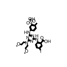 COCCN(CCOC)c1nc(Nc2ccc(C)c(S(=O)(=O)O)c2)nc(Nc2ccc(I)cc2C(=O)O)n1